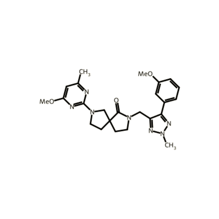 COc1cccc(-c2nn(C)nc2CN2CCC3(CCN(c4nc(C)cc(OC)n4)C3)C2=O)c1